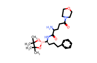 CC1(C)OB([C@H](CCCc2ccccc2)NC(=O)C(N)CCC(=O)N2CCOCC2)OC1(C)C